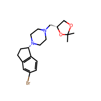 CC1(C)OC[C@@H](CN2CCN([C@H]3CCc4cc(Br)ccc43)CC2)O1